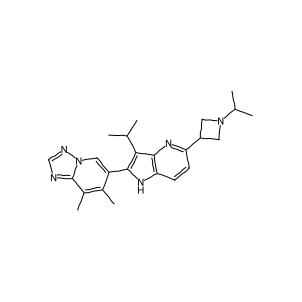 Cc1c(-c2[nH]c3ccc(C4CN(C(C)C)C4)nc3c2C(C)C)cn2ncnc2c1C